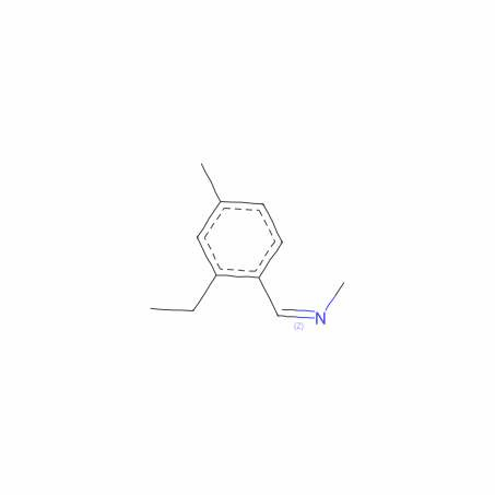 CCc1cc(C)ccc1/C=N\C